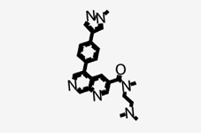 CN(C)CCN(C)C(=O)c1cnc2cncc(-c3ccc(-c4cnn(C)c4)cc3)c2c1